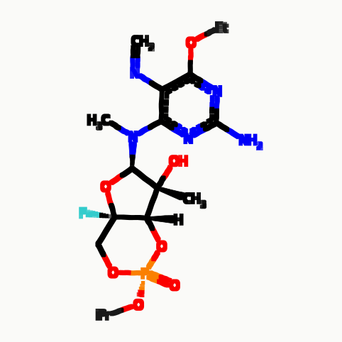 C=Nc1c(OCC)nc(N)nc1N(C)[C@@H]1O[C@]2(F)CO[P@@](=O)(OC(C)C)O[C@H]2[C@@]1(C)O